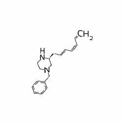 C=C/C=C\C=C\C[C@H]1CN(Cc2ccccc2)CCN1